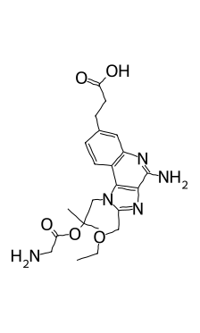 CCOCc1nc2c(N)nc3cc(CCC(=O)O)ccc3c2n1CC(C)(C)OC(=O)CN